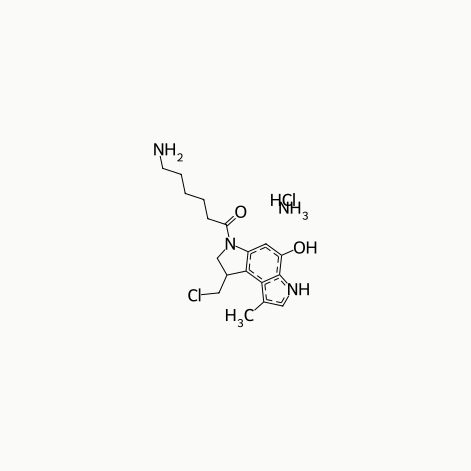 Cc1c[nH]c2c(O)cc3c(c12)C(CCl)CN3C(=O)CCCCCN.Cl.N